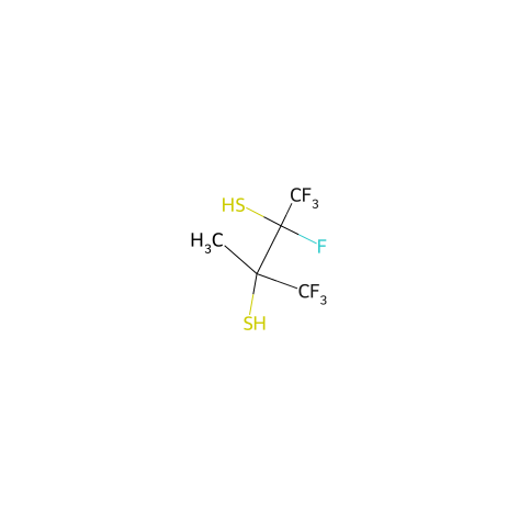 CC(S)(C(F)(F)F)C(F)(S)C(F)(F)F